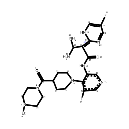 CCN1CCN(C(=O)C2CCN(c3c(F)cncc3NC(=O)/C(=C3\N=CC(F)=CN3)C(N)N)CC2)CC1